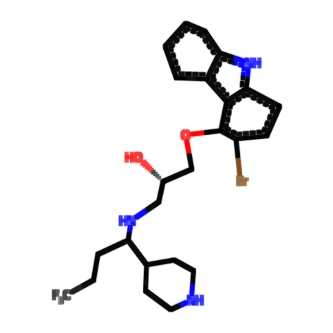 O[C@@H](CNC(CCC(F)(F)F)C1CCNCC1)COc1c(Br)ccc2[nH]c3ccccc3c12